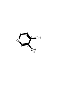 OC1=[C]SCC=C1O